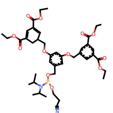 CCOC(=O)C1=CC(COc2cc(COP(OCCC#N)N(C(C)C)C(C)C)cc(OCc3cc(C(=O)OCC)cc(C(=O)OCC)c3)c2)CC(C(=O)OCC)=C1